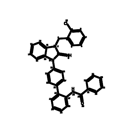 N=c1n(Cc2ccccc2Cl)c2ccccc2n1-c1ccc(-c2ccccc2NC(=O)c2ccccc2)cc1